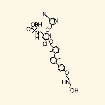 Cc1c(COc2nc(OCc3cncc(C#N)c3)c(CNC(C)(CO)C(=O)O)cc2Cl)cccc1-c1cccc(-c2ccc(OCCNCCO)cc2)c1C